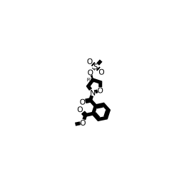 COC(=O)c1ccccc1C(=O)N1C[C@@H](OS(C)(=O)=O)CO1